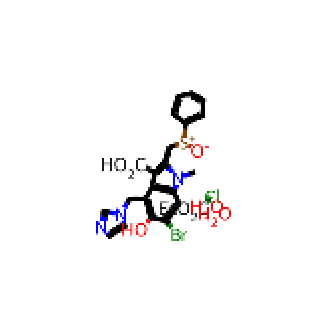 CCOC(=O)Cl.Cn1c(C[S+]([O-])c2ccccc2)c(C(=O)O)c2c(Cn3ccnc3)c(O)c(Br)cc21.O.O